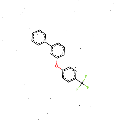 FC(F)(F)c1ccc(Oc2cc[c]c(-c3ccccc3)c2)cc1